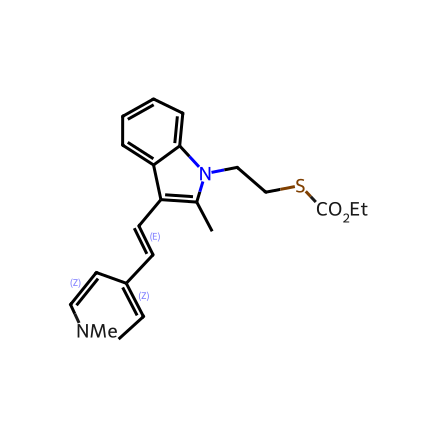 C/C=C(\C=C/NC)/C=C/c1c(C)n(CCSC(=O)OCC)c2ccccc12